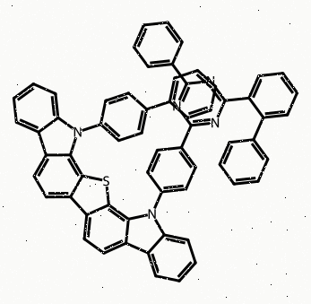 c1ccc(-c2ccc(-n3c4ccccc4c4ccc5c6ccc7c8ccccc8n(-c8ccc(-c9nc(-c%10ccccc%10)nc(-c%10ccccc%10-c%10ccccc%10)n9)cc8)c7c6sc5c43)cc2)cc1